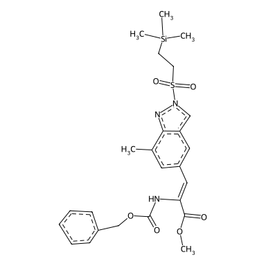 COC(=O)C(=Cc1cc(C)c2nn(S(=O)(=O)CC[Si](C)(C)C)cc2c1)NC(=O)OCc1ccccc1